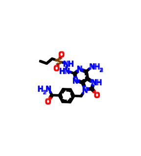 CCCS(=O)(=O)NNc1nc(N)c2[nH]c(=O)n(Cc3ccc(C(N)=O)cc3)c2n1